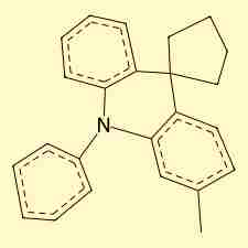 Cc1ccc2c(c1)N(c1ccccc1)c1ccccc1C21CCCC1